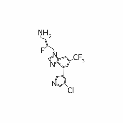 NC/C=C(\F)Cn1cnc2c(-c3cncc(Cl)c3)cc(C(F)(F)F)cc21